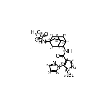 CC(C)(C)n1ncc(C(=O)NC2C3CC4CC2CC(NS(C)(=O)=O)(C4)C3)c1-n1cccn1